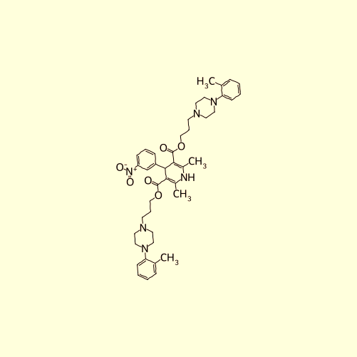 CC1=C(C(=O)OCCCN2CCN(c3ccccc3C)CC2)C(c2cccc([N+](=O)[O-])c2)C(C(=O)OCCCN2CCN(c3ccccc3C)CC2)=C(C)N1